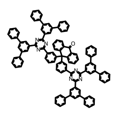 O=C1c2ccccc2C(c2cccc(-c3nc(-c4cc(-c5ccccc5)cc(-c5ccccc5)c4)nc(-c4cc(-c5ccccc5)cc(-c5ccccc5)c4)n3)c2)(c2cccc(-c3nc(-c4cc(-c5ccccc5)cc(-c5ccccc5)c4)nc(-c4cc(-c5ccccc5)cc(-c5ccccc5)c4)n3)c2)c2ccccc21